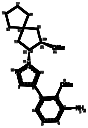 COc1c(N)cccc1-c1cnn([C@@H]2CC3(CCCC3)C[C@H]2OC)c1